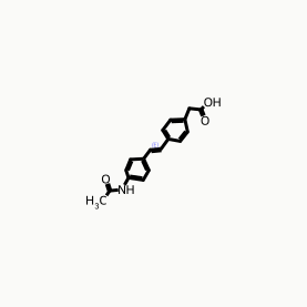 CC(=O)Nc1ccc(/C=C/c2ccc(CC(=O)O)cc2)cc1